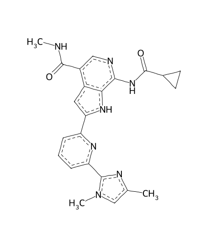 CNC(=O)c1cnc(NC(=O)C2CC2)c2[nH]c(-c3cccc(-c4nc(C)cn4C)n3)cc12